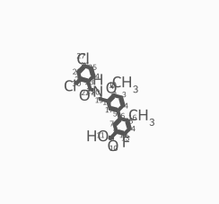 COc1ccc(-c2cc(C(=O)O)c(F)cc2C)cc1CNC(=O)c1ccc(Cl)cc1Cl